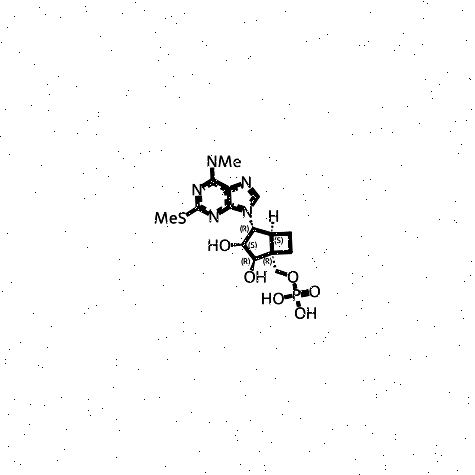 CNc1nc(SC)nc2c1ncn2[C@H]1[C@H](O)[C@H](O)[C@]2(COP(=O)(O)O)CC[C@H]12